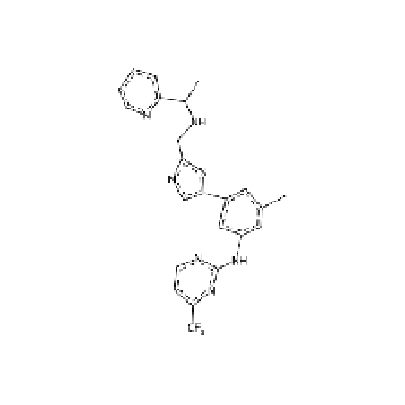 Cc1cc(Nc2nccc(C(F)(F)F)n2)cc(-c2cnc(CNC(C)c3ccccn3)s2)c1